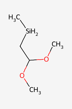 COC(C[SiH2]C)OC